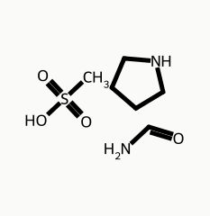 C1CCNC1.CS(=O)(=O)O.NC=O